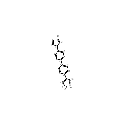 c1cn(-c2ccc(-c3ccc(-c4nn[nH]n4)cc3)cc2)cn1